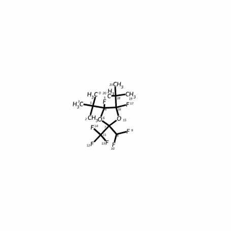 CC(C)(C)C1(F)OC(C(F)F)(C(F)(F)F)OC1(F)C(C)(C)C